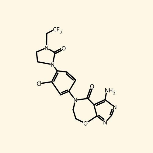 Nc1ncnc2c1C(=O)N(c1ccc(N3CCN(CC(F)(F)F)C3=O)c(Cl)c1)CCO2